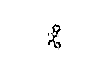 C=CC(c1nc2ccccc2[nH]1)n1ccnc1